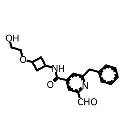 O=Cc1cc(C(=O)NC2CC(OCCO)C2)cc(Cc2ccccc2)n1